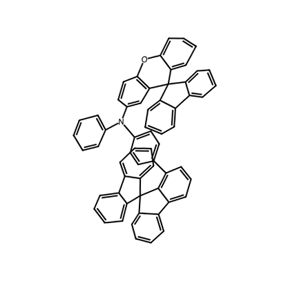 c1ccc(N(c2ccc(-c3cccc4c3C3(c5ccccc5-c5ccccc53)c3ccccc3-4)cc2)c2ccc3c(c2)C2(c4ccccc4O3)c3ccccc3-c3ccccc32)cc1